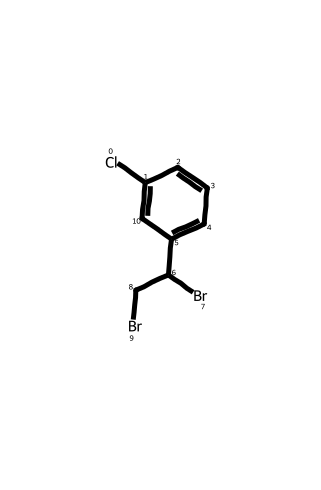 Clc1cccc(C(Br)CBr)c1